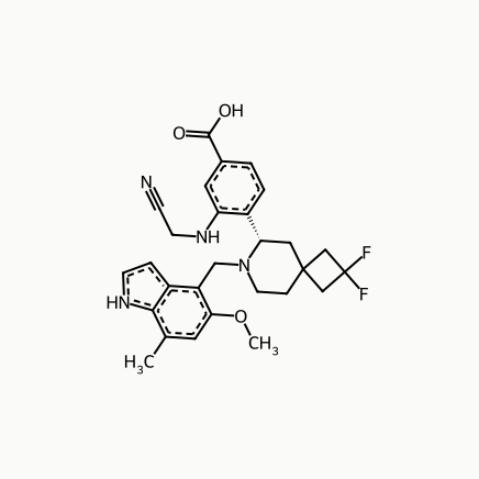 COc1cc(C)c2[nH]ccc2c1CN1CCC2(C[C@H]1c1ccc(C(=O)O)cc1NCC#N)CC(F)(F)C2